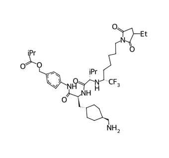 CCC1CC(=O)N(CCCCC[C@@H](N[C@H](C(=O)N[C@@H](C[C@H]2CC[C@H](CN)CC2)C(=O)Nc2ccc(COC(=O)C(C)C)cc2)C(C)C)C(F)(F)F)C1=O